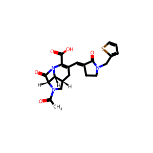 CC(=O)N1C[C@H]2CC(/C=C3\CCN(Cc4cccs4)C3=O)=C(C(=O)O)N3C(=O)[C@@H]1[C@@H]23